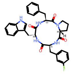 O=C1N[C@H](Cc2c[nH]c3ccccc23)C(=O)N[C@@H](Cc2ccccc2)C(=O)N2CCC[C@@H]2C(=O)N[C@H]1Cc1cccc(F)c1